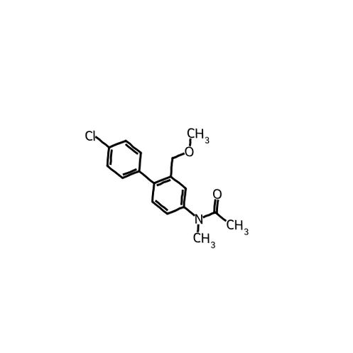 COCc1cc(N(C)C(C)=O)ccc1-c1ccc(Cl)cc1